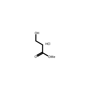 COC(=O)CCO.Cl